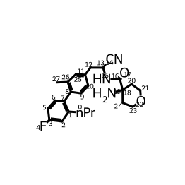 CCCc1cc(F)ccc1-c1ccc(CC(C#N)NC(=O)C2(N)CCOCC2)cc1C